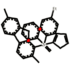 [CH2]=[Zr]([C]1=CC=CC1)([c]1ccccc1)([c]1ccc(CC)cc1)[c]1c(C)ccc2c1Cc1cc(C)ccc1-2